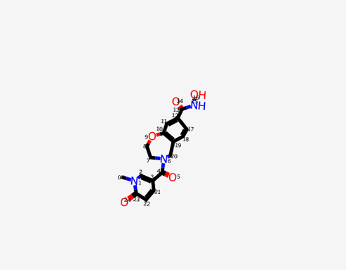 Cn1cc(C(=O)N2CCOc3cc(C(=O)NO)ccc3C2)ccc1=O